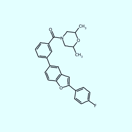 CC1CN(C(=O)c2cccc(-c3ccc4oc(-c5ccc(F)cc5)cc4c3)c2)CC(C)O1